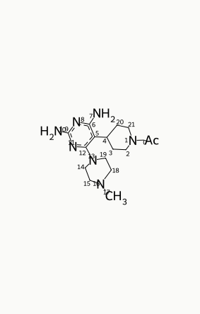 CC(=O)N1CCC(c2c(N)nc(N)nc2N2CCN(C)CC2)CC1